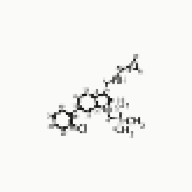 CC(C)(C)Cn1cc(CNSC2CC2)c2ccc(-c3ccccc3Cl)cc21